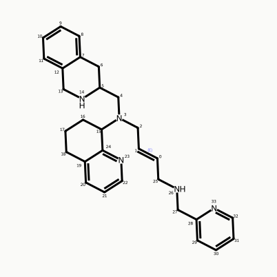 C(=C\CN(CC1Cc2ccccc2CN1)C1CCCc2cccnc21)/CNCc1ccccn1